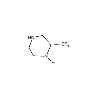 CCN1CCNC[C@@H]1C(F)(F)F